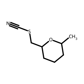 CC1CCCC(CSC#N)O1